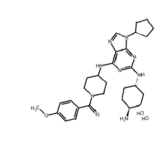 COc1ccc(C(=O)N2CCC(Nc3nc(N[C@H]4CC[C@H](N)CC4)nc4c3ncn4C3CCCC3)CC2)cc1.Cl.Cl